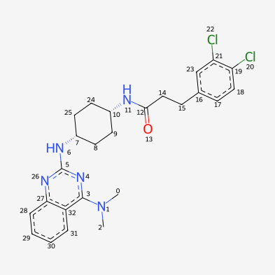 CN(C)c1nc(N[C@H]2CC[C@@H](NC(=O)CCc3ccc(Cl)c(Cl)c3)CC2)nc2ccccc12